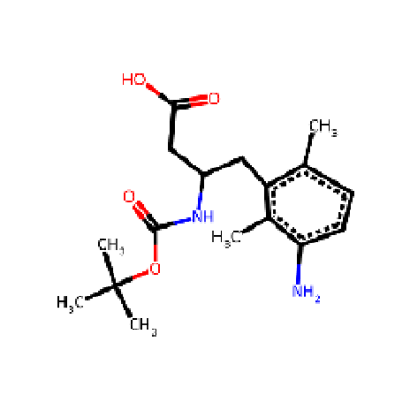 Cc1ccc(N)c(C)c1CC(CC(=O)O)NC(=O)OC(C)(C)C